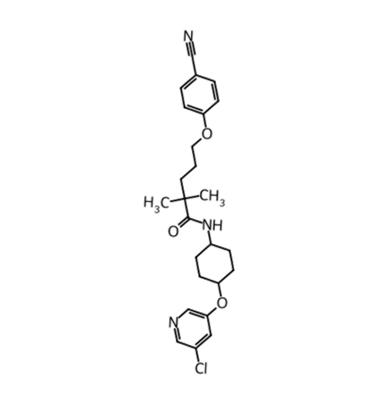 CC(C)(CCCOc1ccc(C#N)cc1)C(=O)NC1CCC(Oc2cncc(Cl)c2)CC1